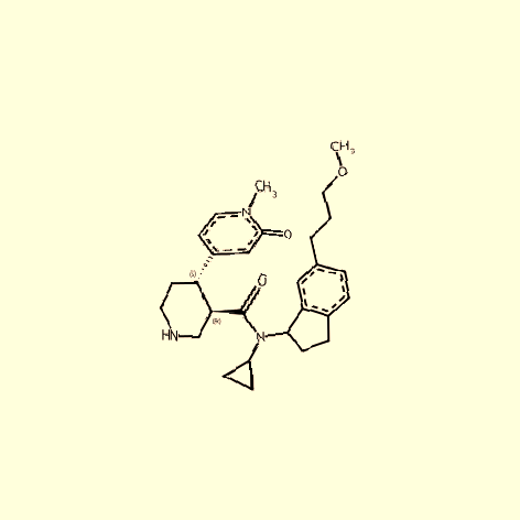 COCCCc1ccc2c(c1)C(N(C(=O)[C@H]1CNCC[C@@H]1c1ccn(C)c(=O)c1)C1CC1)CC2